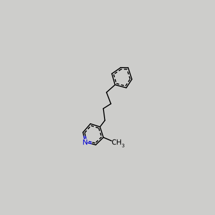 Cc1cnccc1CCCCc1ccccc1